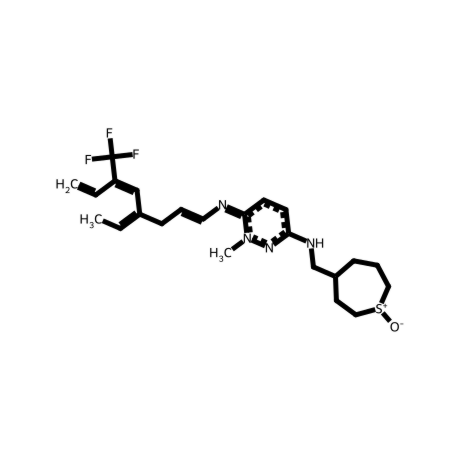 C=C/C(=C\C(=C/C)CC=C/N=c1/ccc(NCC2CCC[S+]([O-])CC2)nn1C)C(F)(F)F